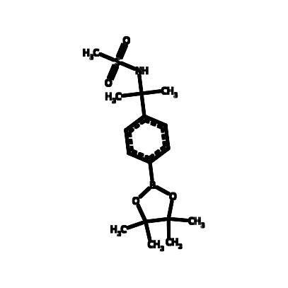 CC(C)(NS(C)(=O)=O)c1ccc(B2OC(C)(C)C(C)(C)O2)cc1